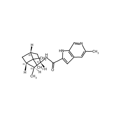 Cc1cc2cc(C(=O)N[C@H]3C[C@H]4C[C@@H]([C@@H]3C)C4(C)C)[nH]c2cn1